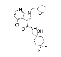 O=C(NCC1(O)CCC(F)(F)CC1)c1cn(CC2CCCO2)c2nccc(Cl)c12